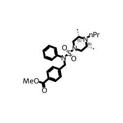 CCCN1[C@H](C)CN(S(=O)(=O)N(Cc2ccc(C(=O)OC)cc2)c2ccccc2)C[C@@H]1C